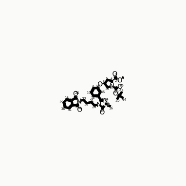 COC(=O)[C@@H]1C[C@H](Oc2cccc(-c3nn(C)c(=O)n3CCCCN3C(=O)c4ccccc4C3=O)c2)CN1C(=O)OC(C)(C)C